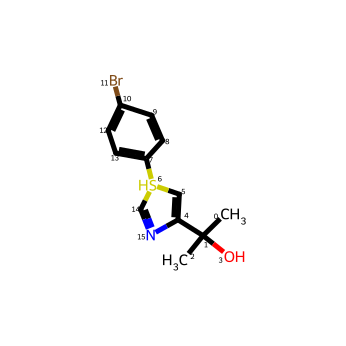 CC(C)(O)C1=C[SH](c2ccc(Br)cc2)C=N1